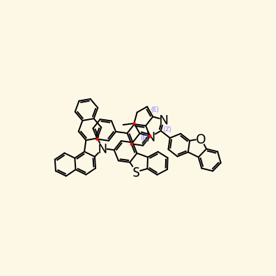 CC1C/C=C(c2cccc(-c3ccccc3)c2)/N=C(c2ccc3c(c2)oc2ccccc23)\N=C/1c1cc(-n2c3cc4ccccc4cc3c3c4ccccc4ccc32)cc2sc3ccccc3c12